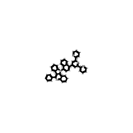 C1=Cc2nc(-c3ccccc3)c3c4ccccc4n(-c4ccc(-c5cc(-c6ccccn6)nc(-c6ccccn6)c5)c5ccccc45)c3c2CC1